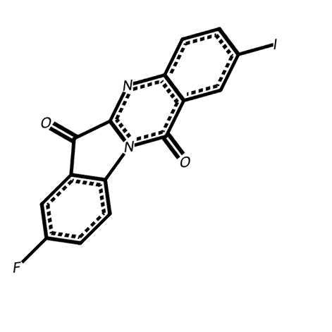 O=C1c2cc(F)ccc2-n2c1nc1ccc(I)cc1c2=O